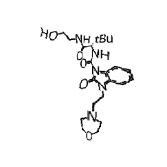 CC(C)(C)[C@H](NC(=O)n1c(=O)n(CCN2CCOCC2)c2ccccc21)C(=O)NCCO